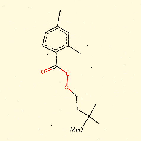 COC(C)(C)C[CH]OOC(=O)c1ccc(C)cc1C